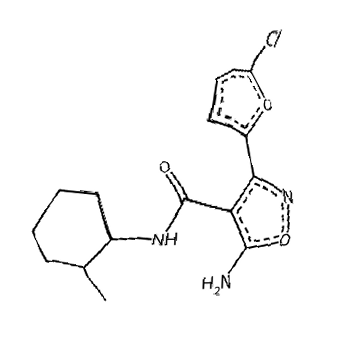 CC1CCCCC1NC(=O)c1c(-c2ccc(Cl)o2)noc1N